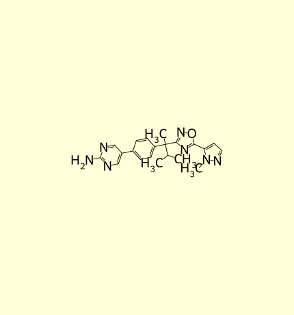 CC(C)C(C)(c1ccc(-c2cnc(N)nc2)cc1)c1noc(-c2ccnn2C)n1